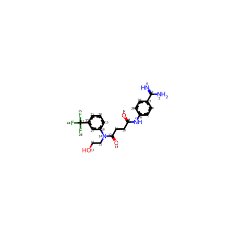 N=C(N)c1ccc(NC(=O)CCC(=O)N(CCO)c2cccc(C(F)(F)F)c2)cc1